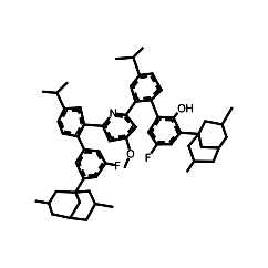 COc1cc(-c2cc(C(C)C)ccc2-c2cc(F)cc(C34CC(C)CC(CC(C)C3)C4)c2)nc(-c2cc(C(C)C)ccc2-c2cc(F)cc(C34CC(C)CC(CC(C)C3)C4)c2O)c1